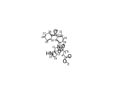 COC(=O)CC(C)S(=O)(=O)N(Cc1ccc[nH]1)c1ccc(C)c(C(=O)c2ccccc2)c1